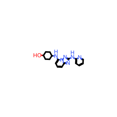 OC1CCC(Nc2cccc3nc(Nc4ccccn4)nn23)CC1